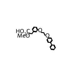 CO[C@@H](Cc1cccc(OCCCOc2ccc(-c3ccccc3)cc2)c1)C(=O)O